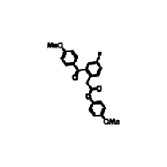 COc1ccc(OC(=O)Cc2ccc(F)cc2C(=O)c2ccc(OC)cc2)cc1